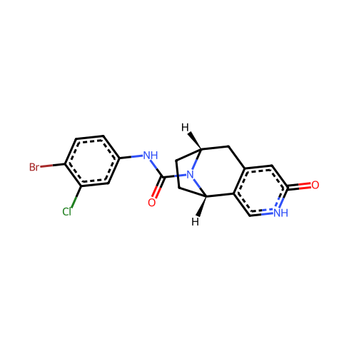 O=C(Nc1ccc(Br)c(Cl)c1)N1[C@@H]2CC[C@H]1c1c[nH]c(=O)cc1C2